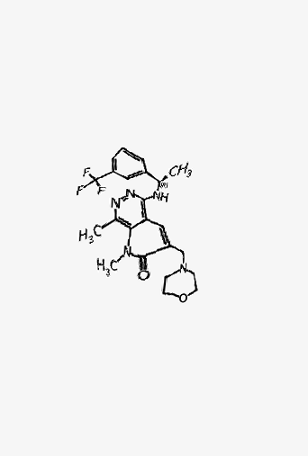 Cc1nnc(N[C@H](C)c2cccc(C(F)(F)F)c2)c2cc(CN3CCOCC3)c(=O)n(C)c12